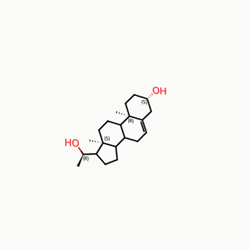 C[C@@H](O)C1CCC2C3CC=C4C[C@@H](O)CC[C@]4(C)C3CC[C@@]21C